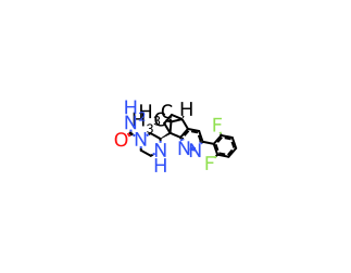 CC1(C)[C@H]2CCC1([C@@H]1CN(C(N)=O)CCN1)c1nnc(-c3c(F)cccc3F)cc12